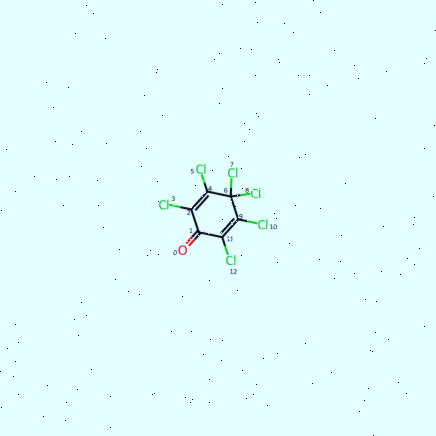 O=C1C(Cl)=C(Cl)C(Cl)(Cl)C(Cl)=C1Cl